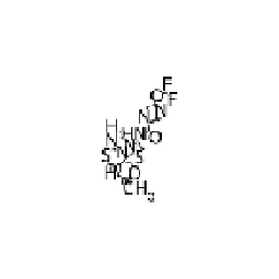 C[C@H]1C[C@H]2CSC(N)=NC2(c2nc(NC(=O)c3cnc(OC(F)F)cn3)cs2)CO1